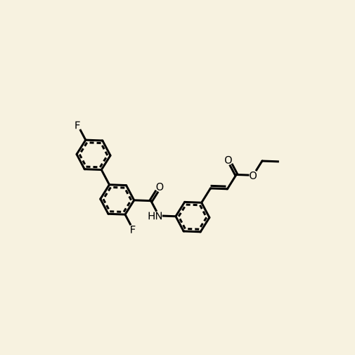 CCOC(=O)C=Cc1cccc(NC(=O)c2cc(-c3ccc(F)cc3)ccc2F)c1